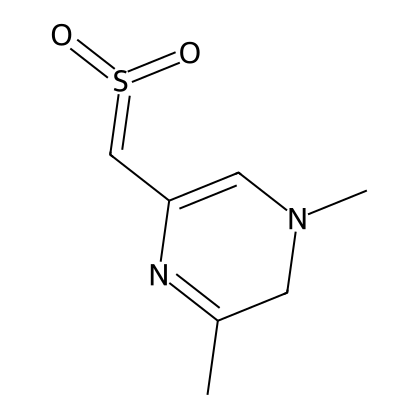 CC1=NC(C=S(=O)=O)=CN(C)C1